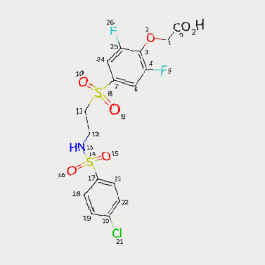 O=C(O)COc1c(F)cc(S(=O)(=O)CCNS(=O)(=O)c2ccc(Cl)cc2)cc1F